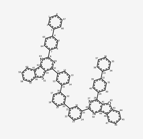 c1ccc(-c2ccc(-c3nc(-c4cccc(-c5cccc(-c6cccc(-c7nc(-c8ccc(-c9ccccc9)cc8)c8oc9ccccc9c8n7)c6)c5)c4)c4sc5ccccc5c4n3)cc2)cc1